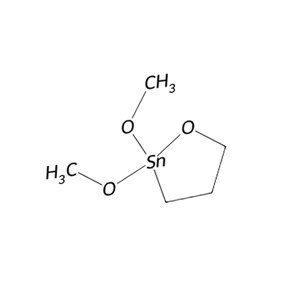 C[O][Sn]1([O]C)[CH2]CC[O]1